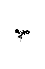 O=C(OC[C@@H]1ON[C@@H](F)[C@@H]1OC(=O)c1ccccc1)c1ccccc1